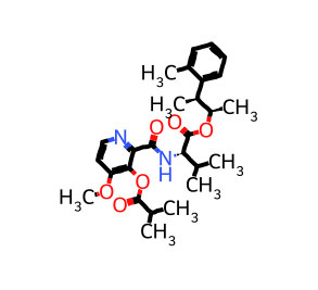 COc1ccnc(C(=O)N[C@H](C(=O)O[C@H](C)[C@@H](C)c2ccccc2C)C(C)C)c1OC(=O)C(C)C